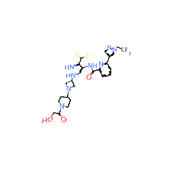 N=C(/C(=C\NC1CN(C2CCN(C(=O)CO)CC2)C1)NC(=O)c1cccc(-c2cnn(CC(F)(F)F)c2)n1)C(F)F